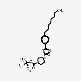 CCCCCCCCc1ccc(-c2noc([C@@H]3CCN(C(=O)OC(C)(C)C)C3)n2)cc1